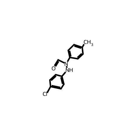 Cc1ccc(N(C=O)Nc2ccc(Cl)cc2)cc1